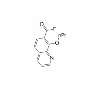 CCCOc1c(C(=O)F)ccc2cccnc12